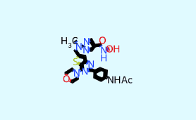 CC(=O)Nc1ccc(-c2nc(N3CCOCC3)c3sc(CN(C)c4ncc(C(=O)NO)cn4)cc3n2)cc1